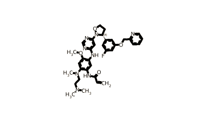 C=CC(=O)Nc1cc(Nc2cc(N3OCC[C@@H]3c3cc(F)cc(OCc4ccccn4)c3)ncn2)c(OC)cc1N(C)CCN(C)C